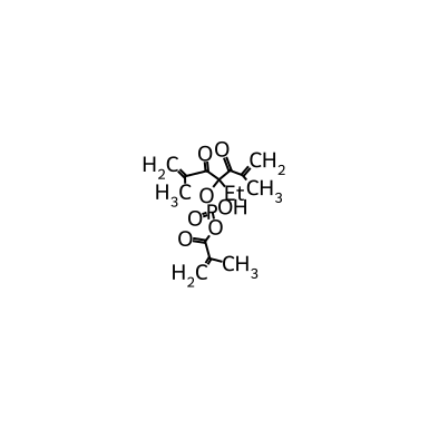 C=C(C)C(=O)OP(=O)(O)OC(CC)(C(=O)C(=C)C)C(=O)C(=C)C